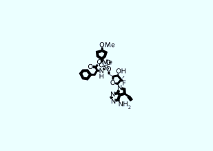 C#Cc1cn([C@@H]2O[C@H](COP(=O)(NC(Cc3ccccc3)C(=O)OC)Oc3ccc(OC)cc3)[C@@H](O)[C@@]2(C)F)c2ncnc(N)c12